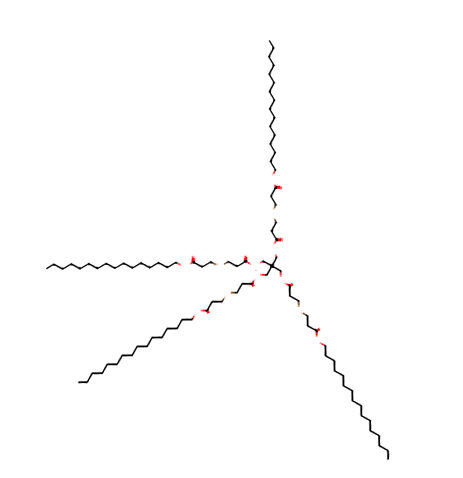 CCCCCCCCCCCCCCCCOC(=O)CCSCCC(=O)OCC(COC(=O)CCSCCC(=O)OCCCCCCCCCCCCCCCC)(COC(=O)CCSCCC(=O)OCCCCCCCCCCCCCCCC)COC(=O)CCSCCC(=O)OCCCCCCCCCCCCCCCC